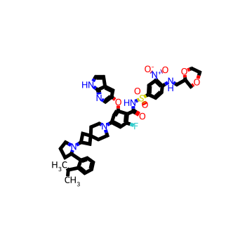 CC(C)c1ccccc1C1CCCN1C1CC2(CCN(c3cc(F)c(C(=O)NS(=O)(=O)c4ccc(NCC5COCCO5)c([N+](=O)[O-])c4)c(Oc4cnc5[nH]ccc5c4)c3)CC2)C1